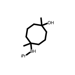 CC(C)BC1(C)CCCC(C)(O)CCC1